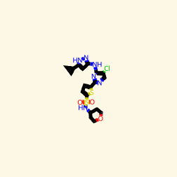 O=S(=O)(NC1CCOCC1)c1ccc(-c2ncc(Cl)c(Nc3cc(C4CC4)[nH]n3)n2)s1